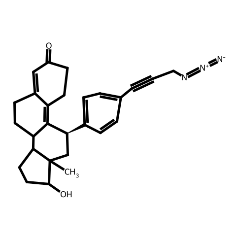 CC12C[C@H](c3ccc(C#CCN=[N+]=[N-])cc3)C3=C4CCC(=O)C=C4CCC3C1CCC2O